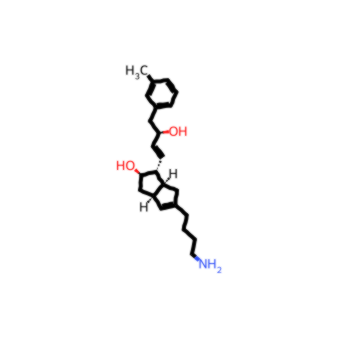 Cc1cccc(C[C@@H](O)/C=C/[C@@H]2[C@H]3CC(CCCCN)=C[C@H]3C[C@H]2O)c1